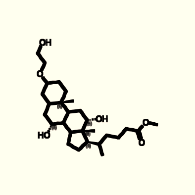 COC(=O)CCCC(C)[C@H]1CCC2C3C(C[C@H](O)[C@@]21C)[C@@]1(C)CCC(OCCO)CC1C[C@H]3O